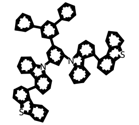 c1ccc(-c2cc(-c3ccccc3)cc(-c3cc(-n4c5ccccc5c5c(-c6cccc7sc8ccccc8c67)cccc54)cc(-n4c5ccccc5c5c(-c6cccc7sc8ccccc8c67)cccc54)c3)c2)cc1